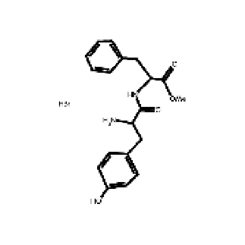 Br.COC(=O)C(Cc1ccccc1)NC(=O)C(N)Cc1ccc(O)cc1